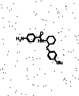 CC(C)(C)c1ccc(SC2CCCCC2NC(=O)c2ccc(N)cc2)cc1